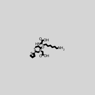 NCCCCCCC[C@H](N[C@H]1CS[C@H](c2cccs2)CN(CC(=O)O)C1=O)C(=O)O